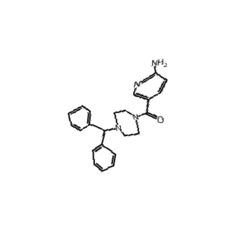 Nc1ccc(C(=O)N2CCN(C(c3ccccc3)c3ccccc3)CC2)cn1